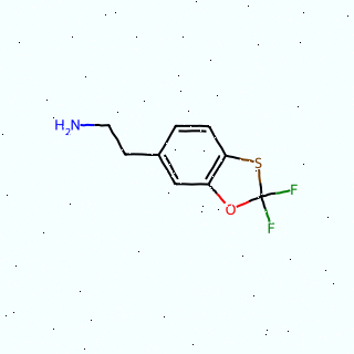 NCCc1ccc2c(c1)OC(F)(F)S2